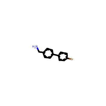 NCc1ccc(-c2ccc(Br)cc2)cc1